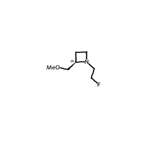 COC[C@H]1CCN1CCF